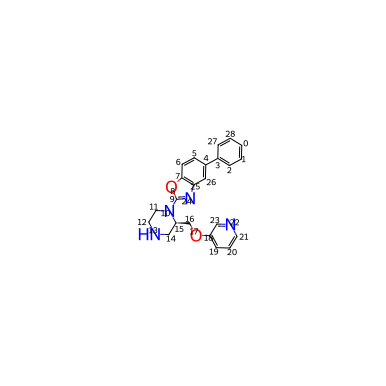 c1ccc(-c2ccc3oc(N4CCNC[C@@H]4COc4cccnc4)nc3c2)cc1